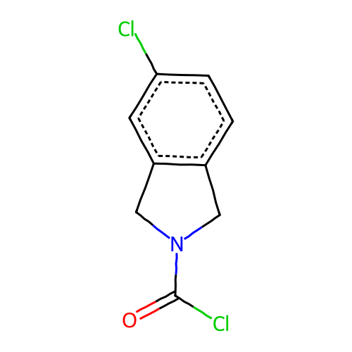 O=C(Cl)N1Cc2ccc(Cl)cc2C1